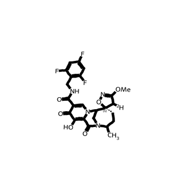 [2H]C1C(OC)=NO[C@@]12CCC(C)N1CC2n2cc(C(=O)NCc3c(F)cc(F)cc3F)c(=O)c(O)c2C1=O